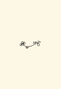 C=C(C)C(=O)NCCCCCCC[N+](C)(C)CCCS(=O)(=O)[O-]